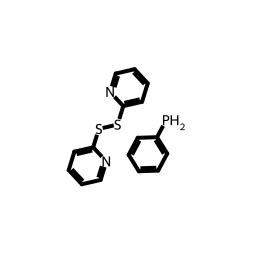 Pc1ccccc1.c1ccc(SSc2ccccn2)nc1